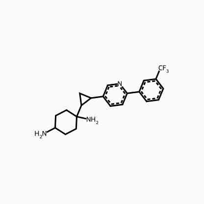 NC1CCC(N)(C2CC2c2ccc(-c3cccc(C(F)(F)F)c3)nc2)CC1